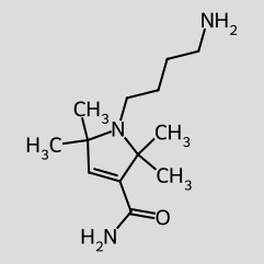 CC1(C)C=C(C(N)=O)C(C)(C)N1CCCCN